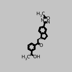 Cc1nc(-c2ccc3c(c2)CC[C@H]3CC(=O)c2cccc([C@@H](C)O)c2)no1